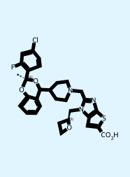 C[C@@]1(c2ccc(Cl)cc2F)Oc2ccccc2C(C2CCN(Cc3nc4sc(C(=O)O)cc4n3C[C@@H]3CCO3)CC2)O1